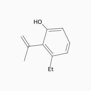 C=C(C)c1c(O)cccc1CC